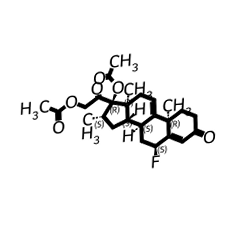 CC(=O)OCC(=O)[C@@]1(OC(C)=O)[C@@H](C)C[C@H]2[C@@H]3C[C@H](F)C4=CC(=O)CC[C@]4(C)C3=CC[C@@]21C